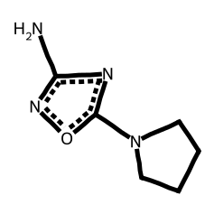 Nc1noc(N2CCCC2)n1